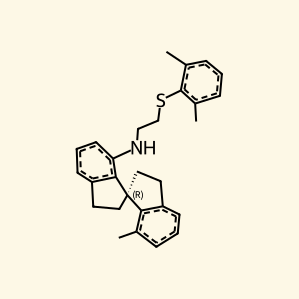 Cc1cccc(C)c1SCCNc1cccc2c1[C@]1(CCc3cccc(C)c31)CC2